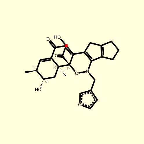 C[C@H]1C=C2C(=O)C=C3C4=C(C5=C(CCC5)C4)N(Cc4ccoc4)O[C@]3(C(=O)CO)[C@@]2(C)C[C@@H]1O